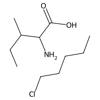 CCC(C)C(N)C(=O)O.CCCCCCl